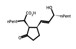 CCCCCC(C(=O)O)[C@@H]1C(=O)CC[C@@H]1C=C[C@H](O)CCCCC